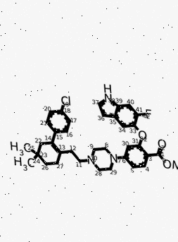 COC(=O)c1ccc(N2CCN(CCC3=C(c4ccc(Cl)cc4)CC(C)(C)CC3)CC2)cc1Oc1cc2cc[nH]c2cc1F